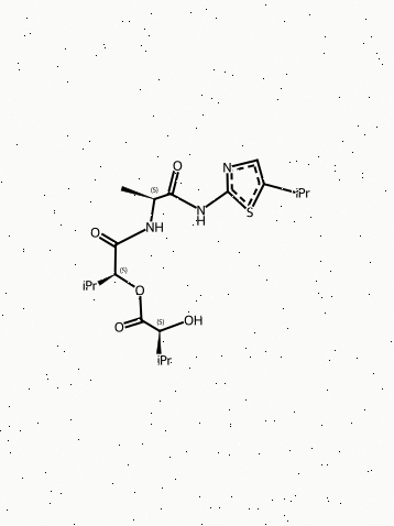 CC(C)c1cnc(NC(=O)[C@H](C)NC(=O)[C@@H](OC(=O)[C@@H](O)C(C)C)C(C)C)s1